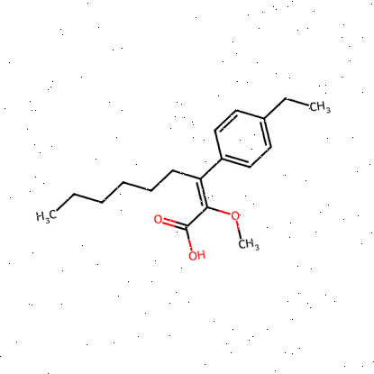 CCCCCCC(=C(OC)C(=O)O)c1ccc(CC)cc1